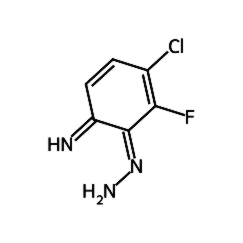 N=C1C=CC(Cl)=C(F)/C1=N/N